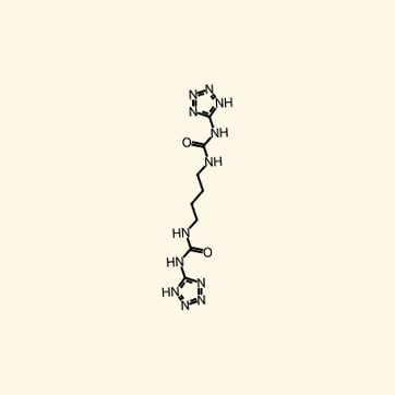 O=C(NCCCCNC(=O)Nc1nnn[nH]1)Nc1nnn[nH]1